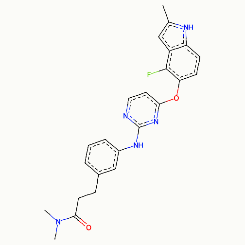 Cc1cc2c(F)c(Oc3ccnc(Nc4cccc(CCC(=O)N(C)C)c4)n3)ccc2[nH]1